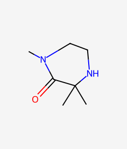 CN1CCNC(C)(C)C1=O